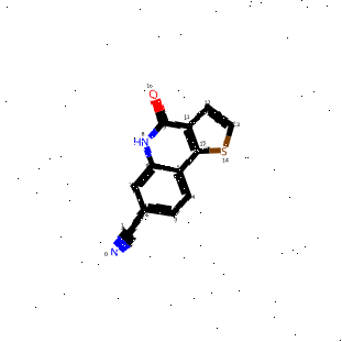 N#Cc1ccc2c(c1)[nH]c(=O)c1ccsc12